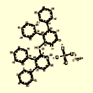 O=S(=O)([O-])[O-].[Pd+2].c1ccc(-c2ccnc(Pc3nccc(-c4ccccc4)c3-c3ccccc3)c2-c2ccccc2)cc1